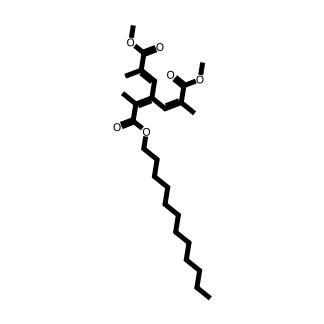 CCCCCCCCCCCCOC(=O)C(C)=C(C=C(C)C(=O)OC)C=C(C)C(=O)OC